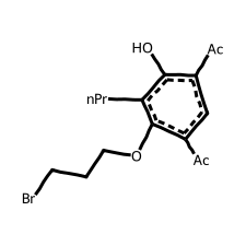 CCCc1c(O)c(C(C)=O)cc(C(C)=O)c1OCCCBr